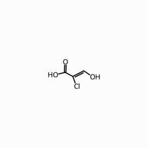 O=C(O)C(Cl)=CO